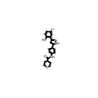 O=C(Nc1ccc(-c2cc(-c3cc(F)ccc3O)n[nH]2)cc1)C1CCOCC1